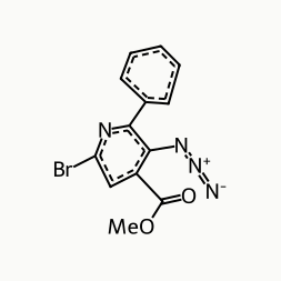 COC(=O)c1cc(Br)nc(-c2ccccc2)c1N=[N+]=[N-]